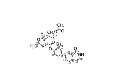 CC(=O)OCC1OC(Oc2ccc(-c3ccc4cc[nH]c(=O)c4c3)cc2C)C(OC(C)=O)C(C)C1C